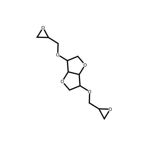 C1OC1COC1COC2C(OCC3CO3)COC12